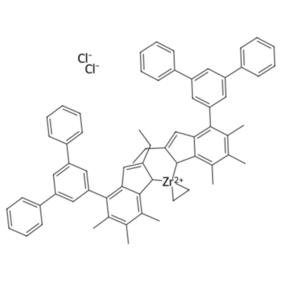 CCC1=Cc2c(-c3cc(-c4ccccc4)cc(-c4ccccc4)c3)c(C)c(C)c(C)c2[CH]1[Zr+2]1([CH]2C(CC)=Cc3c(-c4cc(-c5ccccc5)cc(-c5ccccc5)c4)c(C)c(C)c(C)c32)[CH2][CH2]1.[Cl-].[Cl-]